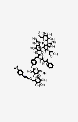 CC(c1ccccc1)C(N)C(=O)NC(Cc1ccc(OC2OC(CO)C(OC3OC(COC/C=C/c4ccc(N(C)C)cc4)C(O)C(O)C3O)C(O)C2O)cc1)C(=O)NC(C(=O)NC(C(=O)NC([C]=O)CO)C(O)C1CNC(=N)N1C1OC(CO)C(O)C(O)C1O)C(O)C1CNC(=N)N1